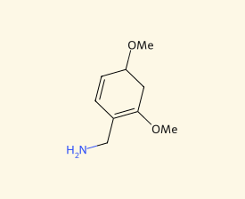 COC1=C(CN)C=CC(OC)C1